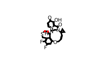 O=C1c2c(O)c(=O)ccn2N2CN1C1(/C=C\COc3cc(F)c(F)c4c3[C@@H]2c2ccccc2SC4)CC1